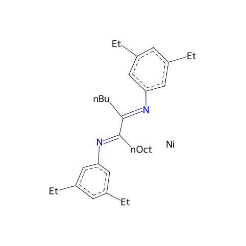 CCCCCCCCC(=N\c1cc(CC)cc(CC)c1)/C(CCCC)=N/c1cc(CC)cc(CC)c1.[Ni]